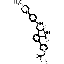 CN1CCN(c2ccc(NC=C3C(=O)NC(=O)c4c3cccc4-c3ccn(CC(N)=O)c3)cc2)CC1